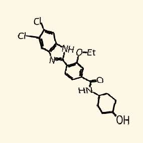 CCOc1cc(C(=O)NC2CCC(O)CC2)ccc1-c1nc2cc(Cl)c(Cl)cc2[nH]1